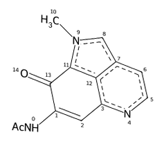 CC(=O)NC1=Cc2nccc3cn(C)c(c23)C1=O